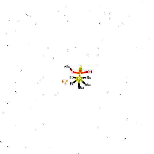 CCCCOP(O)(=S)S(CC)(CC)(CCCC)(CCCC)CCCC.P